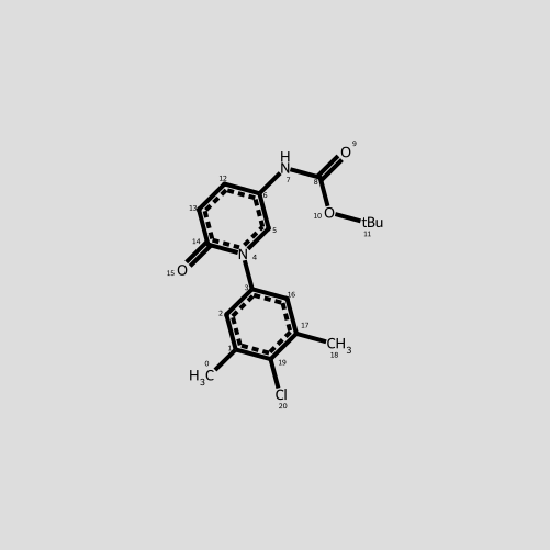 Cc1cc(-n2cc(NC(=O)OC(C)(C)C)ccc2=O)cc(C)c1Cl